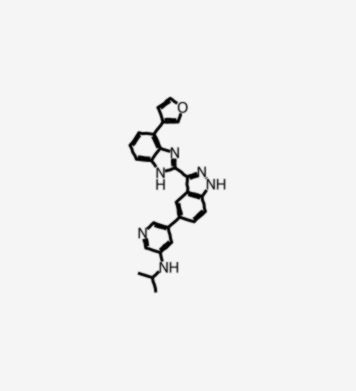 CC(C)Nc1cncc(-c2ccc3[nH]nc(-c4nc5c(-c6ccoc6)cccc5[nH]4)c3c2)c1